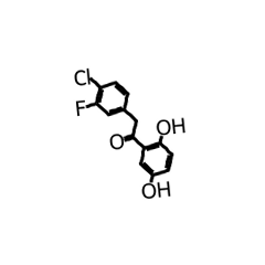 O=C(Cc1ccc(Cl)c(F)c1)c1cc(O)ccc1O